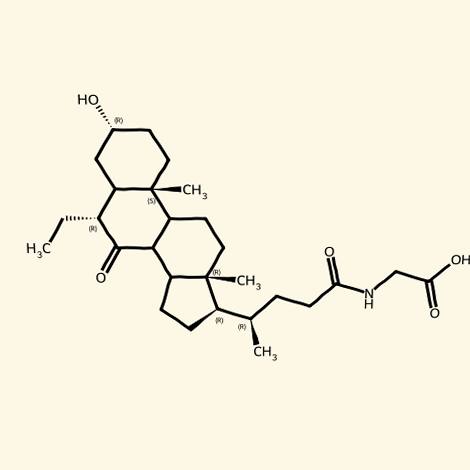 CC[C@H]1C(=O)C2C(CC[C@@]3(C)C2CC[C@@H]3[C@H](C)CCC(=O)NCC(=O)O)[C@@]2(C)CC[C@@H](O)CC12